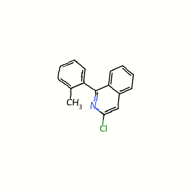 Cc1ccccc1-c1nc(Cl)cc2ccccc12